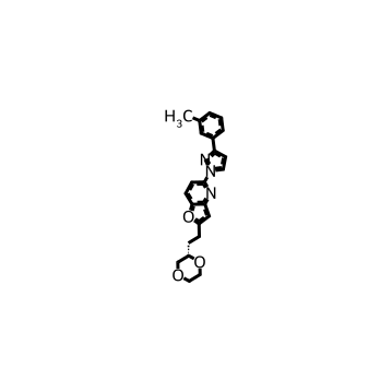 Cc1cccc(-c2ccn(-c3ccc4oc(CC[C@H]5COCCO5)cc4n3)n2)c1